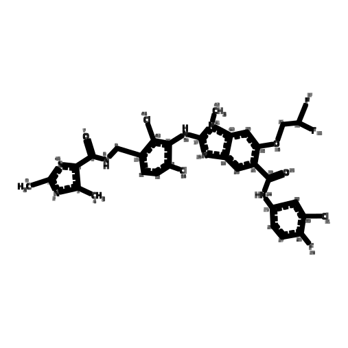 Cc1nc(C)c(C(=O)NCc2ccc(Cl)c(Nc3nc4cc(C(=O)Nc5ccc(F)c(Cl)c5)c(OCC(F)F)cc4n3C)c2Cl)s1